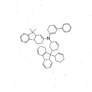 CC1(C)c2ccccc2C2CCC(N(C3=CC(c4ccccc4)=CCC3)C3C=CCC(C4(C5C=CCCC5)C5=C(C=CCC5)C5C=CC=CC54)C3)=CC21